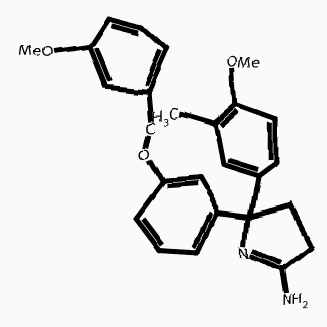 COc1cccc(COc2cccc(C3(c4ccc(OC)c(C)c4)CCC(N)=N3)c2)c1